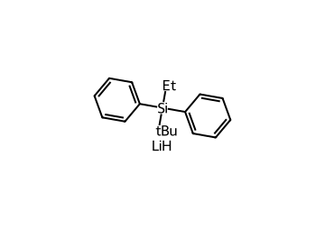 [CH2]C[Si](c1ccccc1)(c1ccccc1)C(C)(C)C.[LiH]